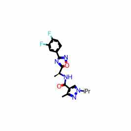 Cc1nn(C(C)C)cc1C(=O)N[C@@H](C)c1nc(-c2ccc(F)c(F)c2)no1